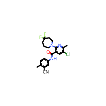 Cc1ccc(NC(=O)c2cc(Cl)c(C)nc2N2CCCC(F)(F)CC2)cc1C#N